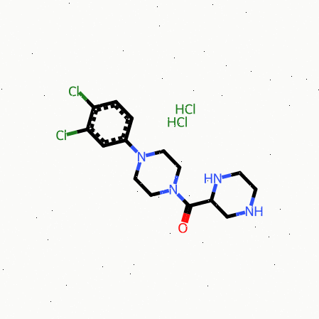 Cl.Cl.O=C(C1CNCCN1)N1CCN(c2ccc(Cl)c(Cl)c2)CC1